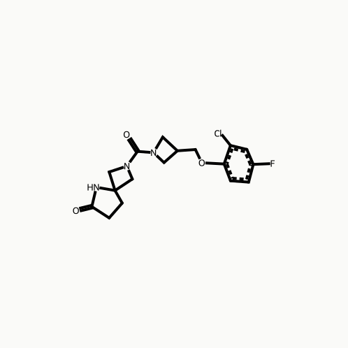 O=C1CCC2(CN(C(=O)N3CC(COc4ccc(F)cc4Cl)C3)C2)N1